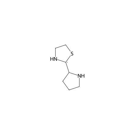 C1CNC([C]2NCCS2)C1